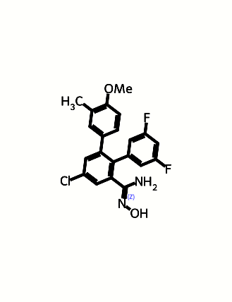 COc1ccc(-c2cc(Cl)cc(/C(N)=N/O)c2-c2cc(F)cc(F)c2)cc1C